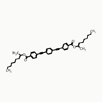 CCCCCCCC(C)OC(=O)c1ccc(C#Cc2ccc(C#Cc3ccc(C(=O)OC(C)CCCCCCC)cc3)cc2)cc1